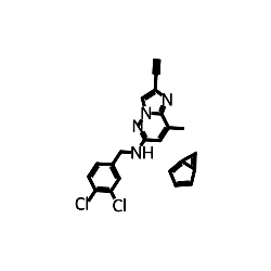 C#Cc1cn2nc(NCc3ccc(Cl)c(Cl)c3)cc(C)c2n1.c1cc2cc-2c1